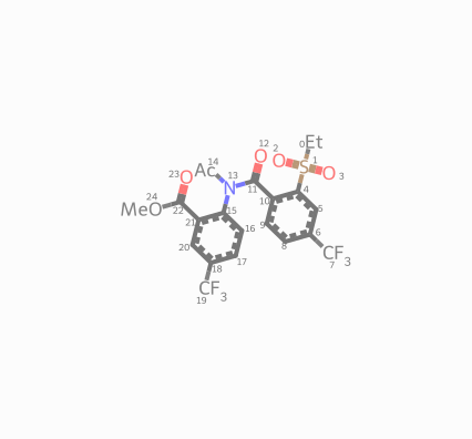 CCS(=O)(=O)c1cc(C(F)(F)F)ccc1C(=O)N(C(C)=O)c1ccc(C(F)(F)F)cc1C(=O)OC